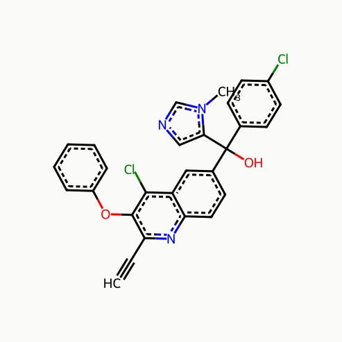 C#Cc1nc2ccc(C(O)(c3ccc(Cl)cc3)c3cncn3C)cc2c(Cl)c1Oc1ccccc1